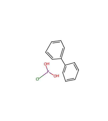 OP(O)Cl.c1ccc(-c2ccccc2)cc1